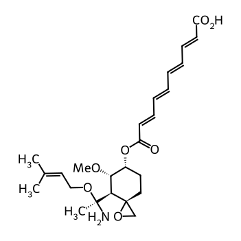 CO[C@@H]1[C@H](OC(=O)/C=C/C=C/C=C/C=C/C(=O)O)CC[C@]2(CO2)[C@H]1[C@@](C)(N)OCC=C(C)C